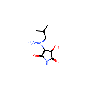 CC(C)CN(N)C1C(=O)NC(=O)C1O